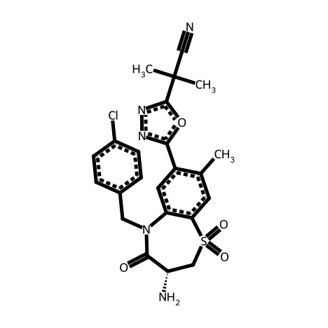 Cc1cc2c(cc1-c1nnc(C(C)(C)C#N)o1)N(Cc1ccc(Cl)cc1)C(=O)[C@@H](N)CS2(=O)=O